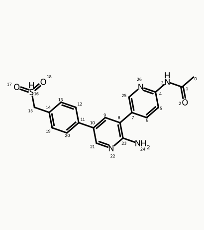 CC(=O)Nc1ccc(-c2cc(-c3ccc(C[SH](=O)=O)cc3)cnc2N)cn1